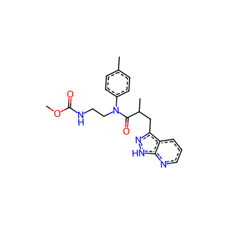 COC(=O)NCCN(C(=O)C(C)Cc1n[nH]c2ncccc12)c1ccc(C)cc1